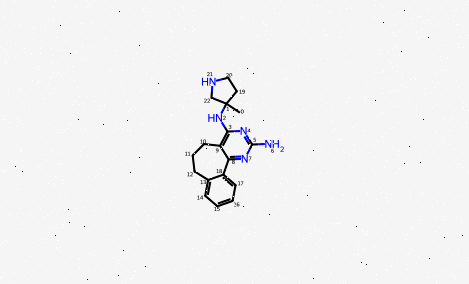 CC1(Nc2nc(N)nc3c2CCCc2ccccc2-3)CCNC1